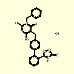 CCCCc1nc(CC)n(Cc2ccccc2)c(=O)c1Cc1ccc(-c2ccccc2-c2noc(=O)[nH]2)cc1.[KH]